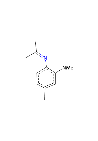 CNc1cc(C)ccc1N=C(C)C